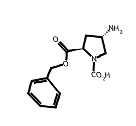 N[C@H]1C[C@H](C(=O)OCc2ccccc2)N(C(=O)O)C1